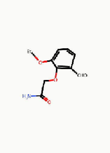 CCOc1cccc(C=O)c1OCC(N)=O